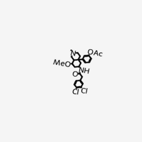 COC1CC(NC(=O)Cc2ccc(Cl)c(Cl)c2)CC2(c3cccc(OC(C)=O)c3)CCN(C)CC12